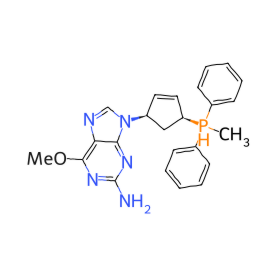 COc1nc(N)nc2c1ncn2[C@H]1C=C[C@@H]([PH](C)(c2ccccc2)c2ccccc2)C1